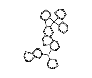 c1ccc(N(c2ccc3ccccc3c2)c2cccc3c2ccc2cc4c(cc23)C(c2ccccc2)(c2ccccc2)c2ccccc2-4)cc1